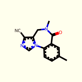 Cc1ccc2c(c1)C(=O)N(C)Cc1c(C#N)ncn1-2